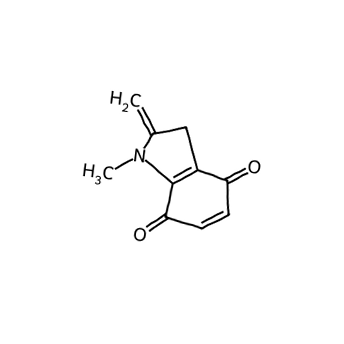 C=C1CC2=C(C(=O)C=CC2=O)N1C